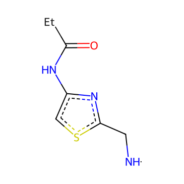 CCC(=O)Nc1csc(C[NH])n1